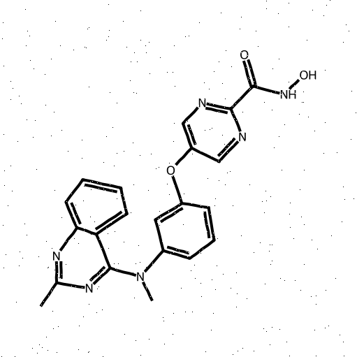 Cc1nc(N(C)c2cccc(Oc3cnc(C(=O)NO)nc3)c2)c2ccccc2n1